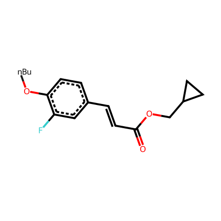 CCCCOc1ccc(C=CC(=O)OCC2CC2)cc1F